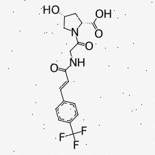 O=C(/C=C/c1ccc(C(F)(F)F)cc1)NCC(=O)N1C[C@H](O)C[C@@H]1C(=O)O